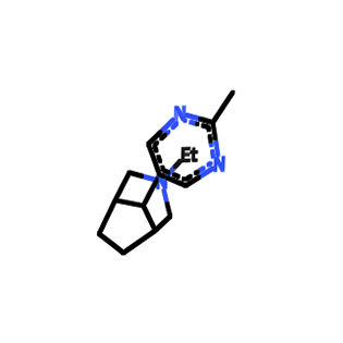 CCN1CC2CCC(C1)C2c1cnc(C)nc1